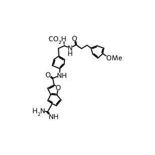 COc1ccc(CCC(=O)N[C@@H](Cc2ccc(NC(=O)c3cc4cc(C(=N)N)ccc4o3)cc2)C(=O)O)cc1